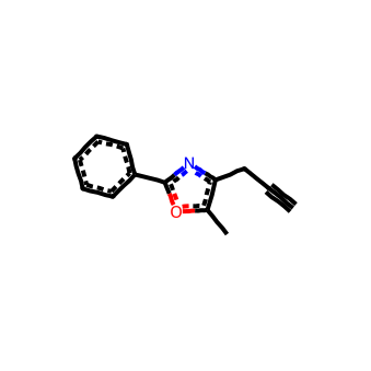 C#CCc1nc(-c2ccccc2)oc1C